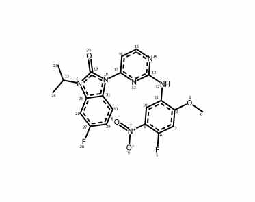 COc1cc(F)c([N+](=O)[O-])cc1Nc1nccc(-n2c(=O)n(C(C)C)c3cc(F)ccc32)n1